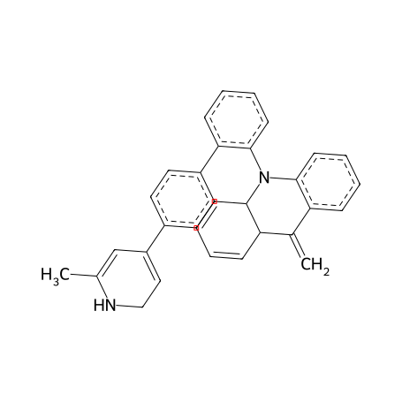 C=C1c2ccccc2N(c2ccccc2-c2ccc(C3=CCNC(C)=C3)cc2)C2C=CC=CC12